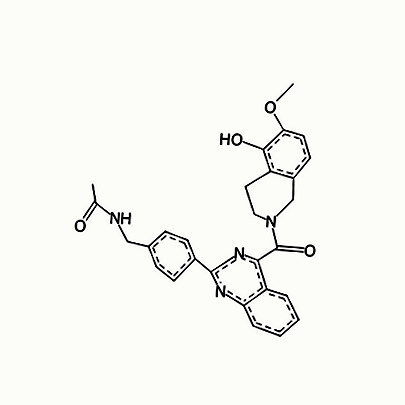 COc1ccc2c(c1O)CCN(C(=O)c1nc(-c3ccc(CNC(C)=O)cc3)nc3ccccc13)C2